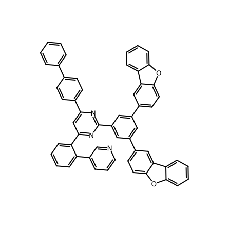 c1ccc(-c2ccc(-c3cc(-c4ccccc4-c4cccnc4)nc(-c4cc(-c5ccc6oc7ccccc7c6c5)cc(-c5ccc6oc7ccccc7c6c5)c4)n3)cc2)cc1